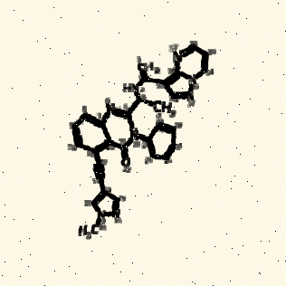 C=C(N[C@@H](C)c1nc2cccc(C#Cc3cnn(C)c3)c2c(=O)n1-c1ccccc1)c1cnn2cccnc12